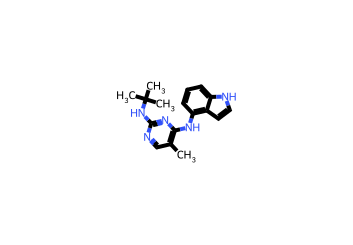 Cc1cnc(NC(C)(C)C)nc1Nc1cccc2[nH]ccc12